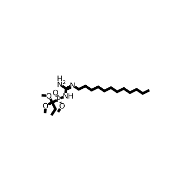 CCCCCCCCCCCCN=C(N)NP(=O)(OC)C(CC)(OC)OC